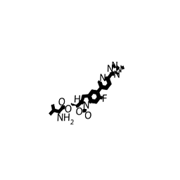 CC(C)[C@H](N)C(=O)OC[C@@H]1OC(=O)N2c3cc(F)c(-c4ccc(-c5nnn(C)n5)nc4)cc3C[C@@H]12